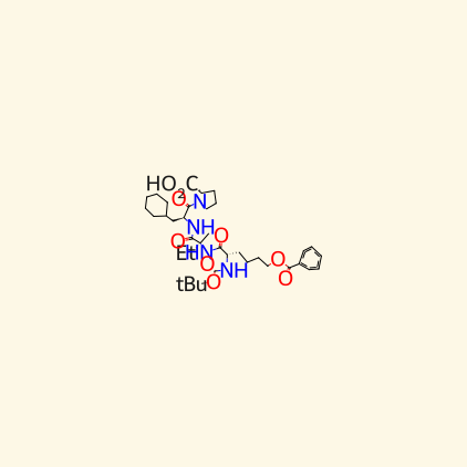 CC[C@](C)(NC(=O)[C@H](CCCCOC(=O)c1ccccc1)NC(=O)OC(C)(C)C)C(=O)N[C@@H](CC1CCCCC1)C(=O)N1CCC[C@@H]1C(=O)O